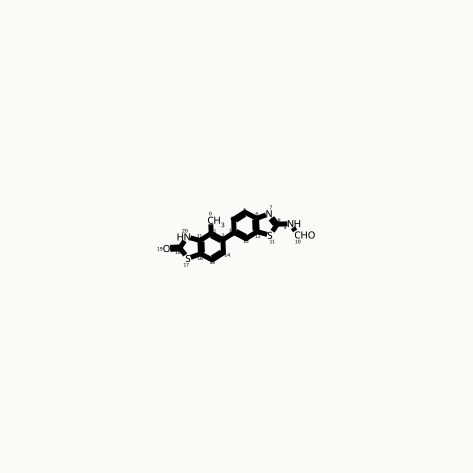 Cc1c(-c2ccc3nc(NC=O)sc3c2)ccc2sc(=O)[nH]c12